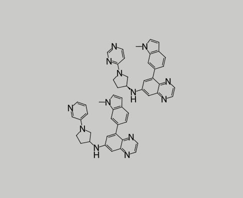 Cn1ccc2ccc(-c3cc(NC4CCN(c5cccnc5)C4)cc4nccnc34)cc21.Cn1ccc2ccc(-c3cc(N[C@H]4CCN(c5ccncn5)C4)cc4nccnc34)cc21